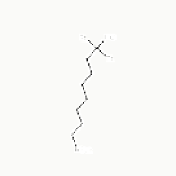 CCCCCCCCCCCCCCCC(CC)(CC)N=O